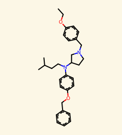 CCOc1ccc(CN2CCC(N(CCC(C)C)c3ccc(OCc4ccccc4)cc3)C2)cc1